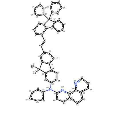 CCC1(CC)c2cc(/C=C/c3cccc4c3-c3ccccc3C4(c3ccccc3)c3ccccc3)ccc2-c2ccc(N(c3ccccc3)c3ccc4ccc5cccnc5c4n3)cc21